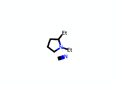 C#N.CCC1CCCN1CC